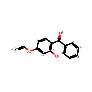 C=COc1ccc(C(=O)c2ccccc2)c(O)c1